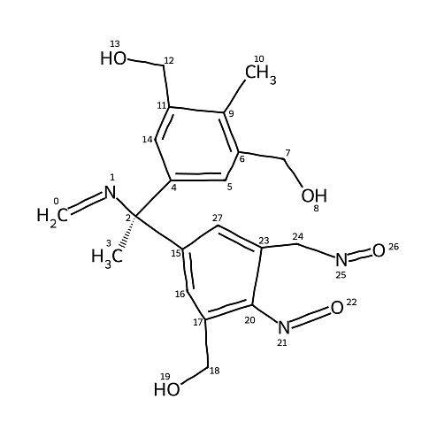 C=N[C@@](C)(c1cc(CO)c(C)c(CO)c1)c1cc(CO)c(N=O)c(CN=O)c1